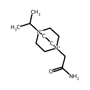 CC(C)[N+]12CC[N+](CC(N)=O)(CC1)CC2